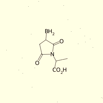 BC1CC(=O)N(C(C)C(=O)O)C1=O